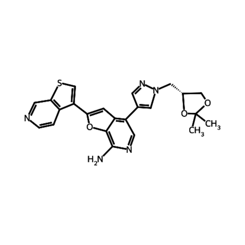 CC1(C)OC[C@@H](Cn2cc(-c3cnc(N)c4oc(-c5csc6cnccc56)cc34)cn2)O1